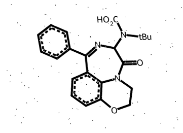 CC(C)(C)N(C(=O)O)C1N=C(c2ccccc2)c2cccc3c2N(CCO3)C1=O